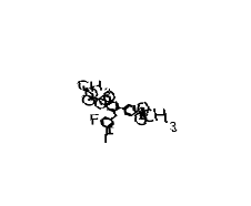 CCOC(=O)C1COc2cc(-c3ccc(S(C)(=O)=O)cc3)c(Cc3cc(F)cc(F)c3)cc2O1